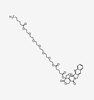 CCCCCC(=O)OCCOCCOCCOCCOCCOCCOC(=O)CCCC(=O)OC1(CC)C(=O)OCc2c1cc1n(c2=O)Cc2cc3ccccc3nc2-1